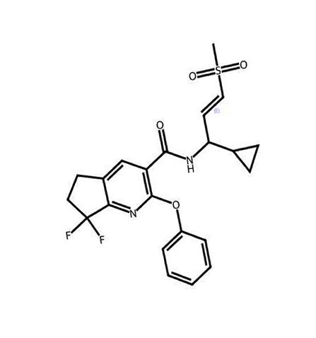 CS(=O)(=O)/C=C/C(NC(=O)c1cc2c(nc1Oc1ccccc1)C(F)(F)CC2)C1CC1